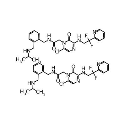 CC(C)NCc1ccccc1CNC(=O)Cn1c(Cl)cnc(NCC(F)(F)c2ccccn2)c1=O.CC(C)NCc1ccccc1CNC(=O)Cn1c(Cl)cnc(NCC(F)(F)c2ccccn2)c1=O